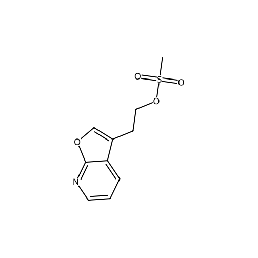 CS(=O)(=O)OCCc1coc2ncccc12